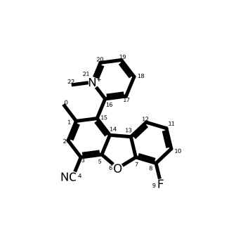 Cc1cc(C#N)c2oc3c(F)cccc3c2c1-c1cccc[n+]1C